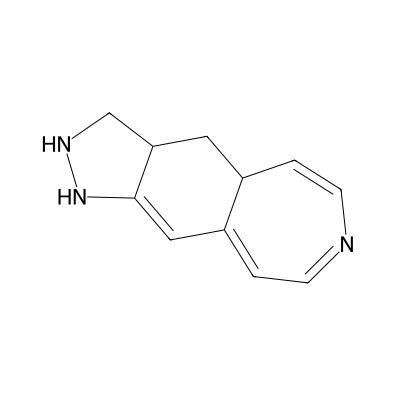 C1=CC2CC3CNNC3=CC2=CC=N1